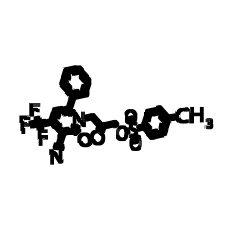 Cc1ccc(S(=O)(=O)OCC(=O)Cn2c(-c3ccccc3)cc(C(F)(F)F)c(C#N)c2=O)cc1